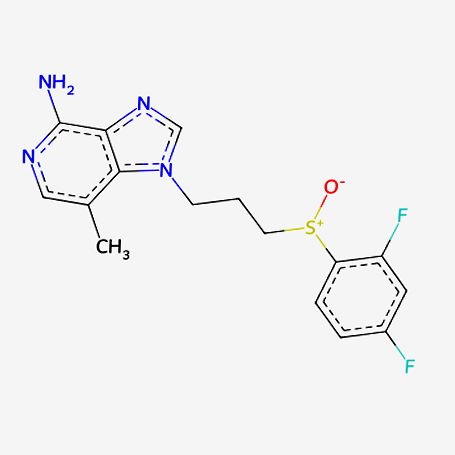 Cc1cnc(N)c2ncn(CCC[S+]([O-])c3ccc(F)cc3F)c12